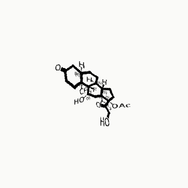 CC(=O)O[C@@]1(C(=O)CO)CC[C@H]2[C@@H]3CC[C@@H]4CC(=O)CC[C@]4(C)[C@@]3(F)[C@@H](O)C[C@@]21C